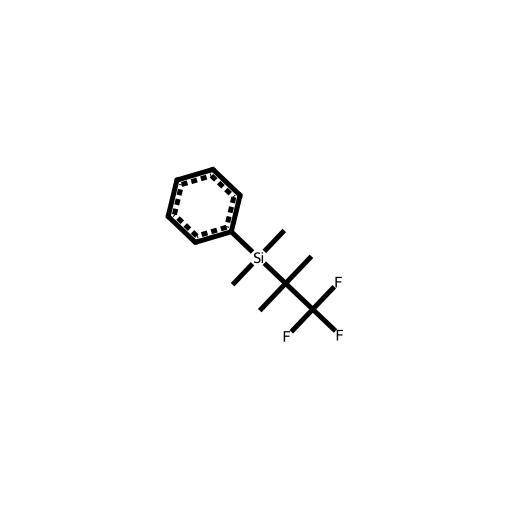 CC(C)(C(F)(F)F)[Si](C)(C)c1ccccc1